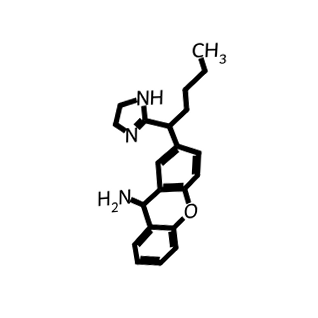 CCCCC(C1=NCCN1)c1ccc2c(c1)C(N)c1ccccc1O2